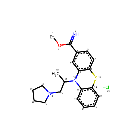 CCOC(=N)c1ccc2c(c1)N(C(C)CN1CCCC1)c1ccccc1S2.Cl